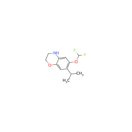 CC(C)c1cc2c(cc1OC(F)F)NCCO2